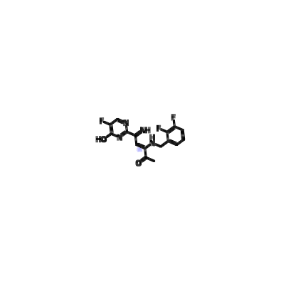 CC(=O)/C(=C/C(=N)c1ncc(F)c(O)n1)NCc1cccc(F)c1F